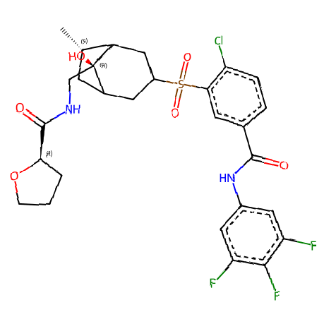 C[C@H]1CC2CC(S(=O)(=O)c3cc(C(=O)Nc4cc(F)c(F)c(F)c4)ccc3Cl)CC1[C@@]2(O)CNC(=O)[C@H]1CCCO1